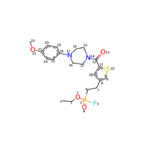 CCOP(=O)(F)CCc1csc(C(=O)N2CCN(c3ccc(OC)cc3)CC2)c1